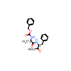 COC(=O)[C@H](Cc1ccccc1)NC(=O)[C@H](C)NC(=O)OCc1ccccc1